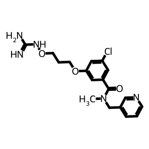 CN(Cc1cccnc1)C(=O)c1cc(Cl)cc(OCCCONC(=N)N)c1